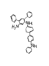 Nc1cc(Nc2ccc(-c3ccc(Nc4ccccc4)cc3)cc2)c(-c2ccccc2)cc1-c1ccccc1